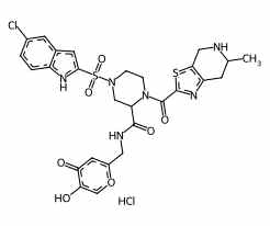 CC1Cc2nc(C(=O)N3CCN(S(=O)(=O)c4cc5cc(Cl)ccc5[nH]4)CC3C(=O)NCc3cc(=O)c(O)co3)sc2CN1.Cl